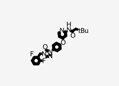 CC(C)(C)CC(=O)Nc1cc(Oc2ccc(-n3ncn(Cc4c(F)cccc4F)c3=O)cc2)ccn1